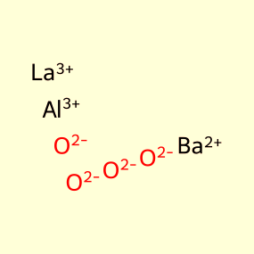 [Al+3].[Ba+2].[La+3].[O-2].[O-2].[O-2].[O-2]